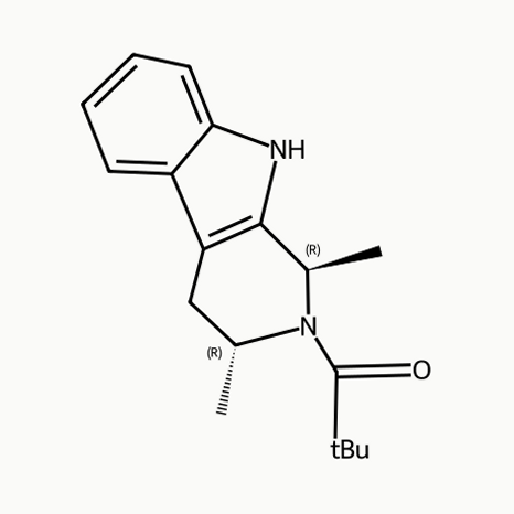 C[C@@H]1Cc2c([nH]c3ccccc23)[C@@H](C)N1C(=O)C(C)(C)C